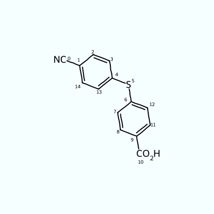 N#Cc1ccc(Sc2ccc(C(=O)O)cc2)cc1